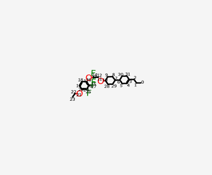 CCCC1=CCC(C2CCC(OCC(F)(F)Oc3ccc(OCC)c(F)c3F)CC2)CC1